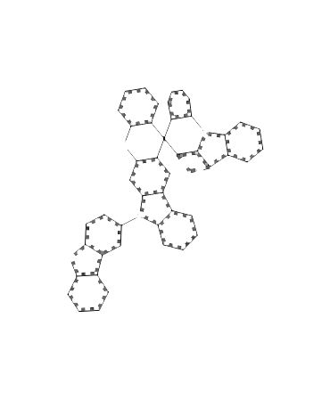 c1ccc2c(c1)Oc1cc3c(cc1C21c2ccccc2-n2c4ccccc4c4cccc1c42)c1ccccc1n3-c1ccc2oc3ccccc3c2c1